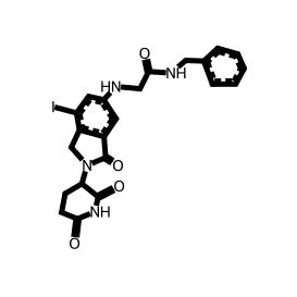 O=C(CNc1cc(I)c2c(c1)C(=O)N(C1CCC(=O)NC1=O)C2)NCc1ccccc1